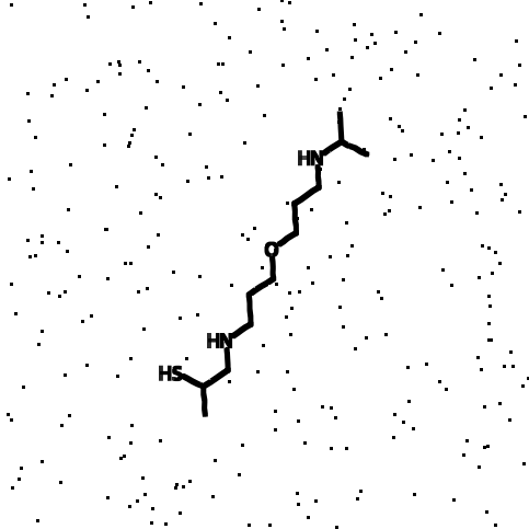 CC(S)CNCCCOCCCNC(C)C